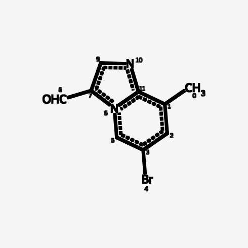 Cc1cc(Br)cn2c(C=O)cnc12